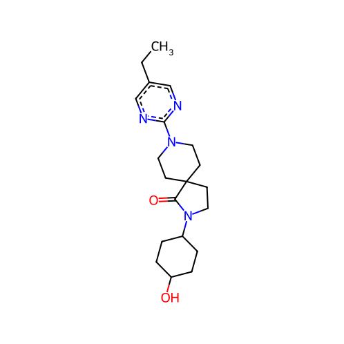 CCc1cnc(N2CCC3(CC2)CCN(C2CCC(O)CC2)C3=O)nc1